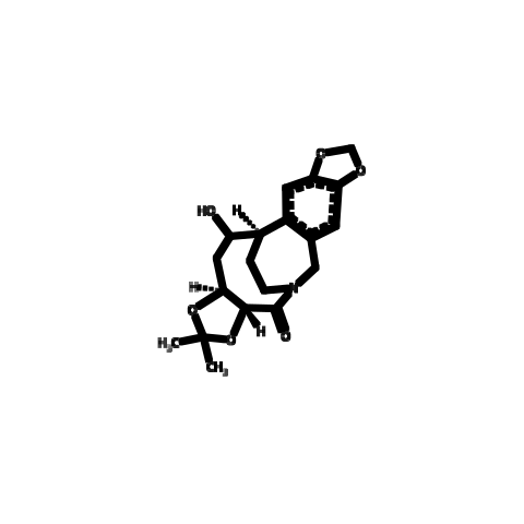 CC1(C)O[C@H]2CC(O)[C@@H]3CCN(Cc4cc5c(cc43)OCO5)C(=O)[C@@H]2O1